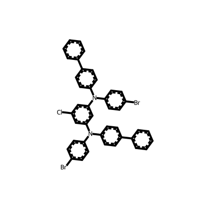 Clc1cc(N(c2ccc(Br)cc2)c2ccc(-c3ccccc3)cc2)cc(N(c2ccc(Br)cc2)c2ccc(-c3ccccc3)cc2)c1